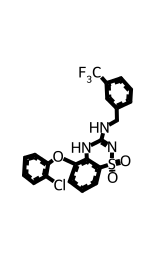 O=S1(=O)N=C(NCc2cccc(C(F)(F)F)c2)Nc2c(Oc3ccccc3Cl)cccc21